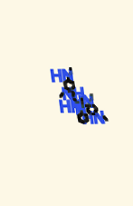 CCNC1=CCC(C=CC2=C(C)C(C3(NCC)C=CC(NCC)=CC3)N(c3ccccc3)N2)(NCC)C=C1